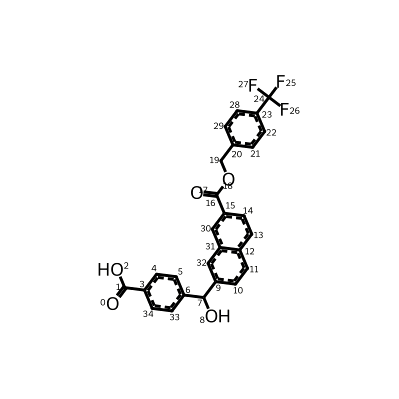 O=C(O)c1ccc(C(O)c2ccc3ccc(C(=O)OCc4ccc(C(F)(F)F)cc4)cc3c2)cc1